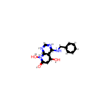 O=c1cc(O)c2c(NCc3ccccc3)ncnc2n1O